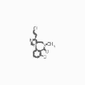 CN1Cc2c(C=CCl)ncn2-c2cccc(Cl)c2C1=O